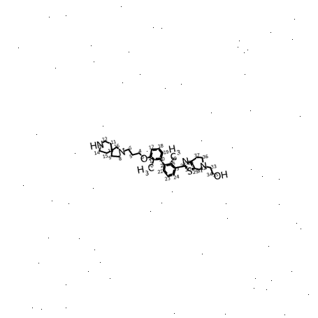 Cc1c(OCCCN2CCC3(CCNCC3)C2)cccc1-c1cccc(-c2nc3c(s2)CN(CCO)CC3)c1C